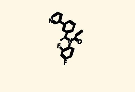 C=CC(=O)N(c1ccc(F)cc1F)[C@@H](C)c1cccc(-c2cccnc2)c1